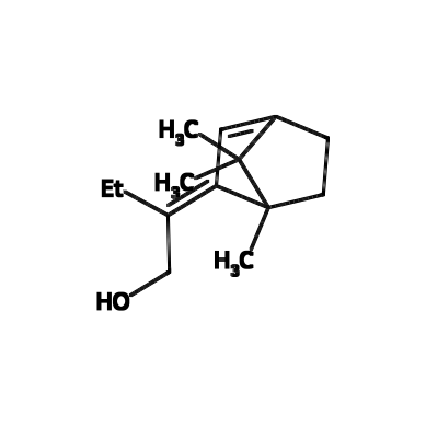 CCC(CO)=C1C=C2CCC1(C)C2(C)C